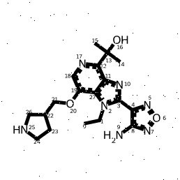 CCn1c(-c2nonc2N)nc2c(C(C)(C)O)ncc(OCC3CCNC3)c21